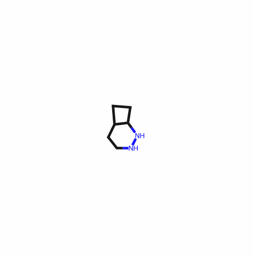 C1CC2CCC2NN1